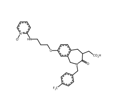 O=C(O)CC1Cc2ccc(OCCCNc3cccc[n+]3[O-])cc2CN(Cc2ccc(C(F)(F)F)cc2)C1=O